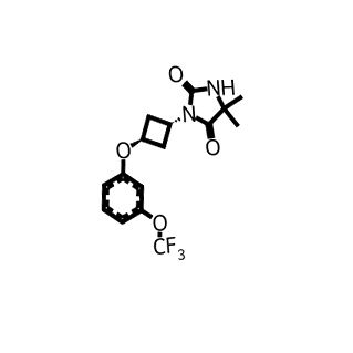 CC1(C)NC(=O)N([C@H]2C[C@H](Oc3cccc(OC(F)(F)F)c3)C2)C1=O